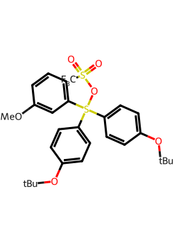 COc1cccc(S(OS(=O)(=O)C(F)(F)F)(c2ccc(OC(C)(C)C)cc2)c2ccc(OC(C)(C)C)cc2)c1